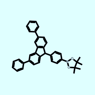 CC1(C)OB(c2ccc(C3c4ccc(-c5ccccc5)cc4-c4cc(-c5ccccc5)ccc43)cc2)OC1(C)C